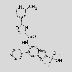 Cc1cc(-c2nc(C(=O)Nc3cn4cc(C(C)(C)O)nc4cc3-c3ccncc3)co2)ccn1